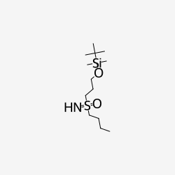 CCCCS(=N)(=O)CCCO[Si](C)(C)C(C)(C)C